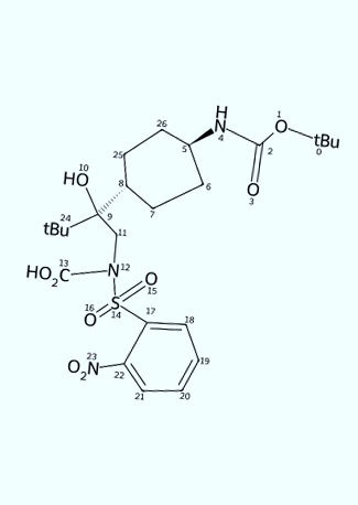 CC(C)(C)OC(=O)N[C@H]1CC[C@H](C(O)(CN(C(=O)O)S(=O)(=O)c2ccccc2[N+](=O)[O-])C(C)(C)C)CC1